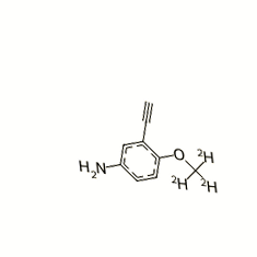 [2H]C([2H])([2H])Oc1ccc(N)cc1C#C